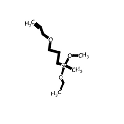 C=CCOCCC[Si](C)(OC)OCC